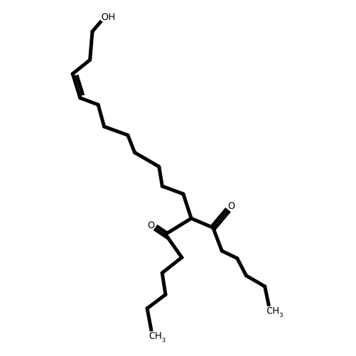 CCCCCC(=O)C(CCCCCCC/C=C\CCO)C(=O)CCCCC